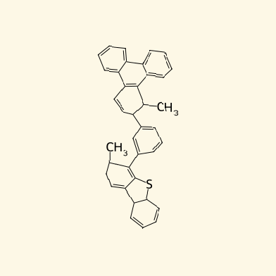 CC1CC=C2C(=C1c1cccc(C3C=Cc4c(c5ccccc5c5ccccc45)C3C)c1)SC1C=CC=CC21